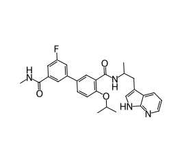 CNC(=O)c1cc(F)cc(-c2ccc(OC(C)C)c(C(=O)NC(C)Cc3c[nH]c4ncccc34)c2)c1